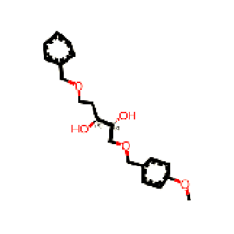 COc1ccc(COC[C@@H](O)[C@@H](O)CCOCc2ccccc2)cc1